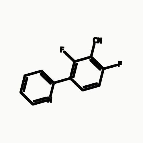 N#Cc1c(F)ccc(-c2ccccn2)c1F